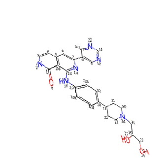 O=C1[N]C=Cc2cc(-c3cncnc3)nc(Nc3ccc(C4CCN(CC(O)CO)CC4)cc3)c21